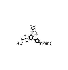 C=C(CO)C(=O)Oc1cc(OC(=O)C(C)CO)cc(-c2ccc(CCCCC)cc2F)c1